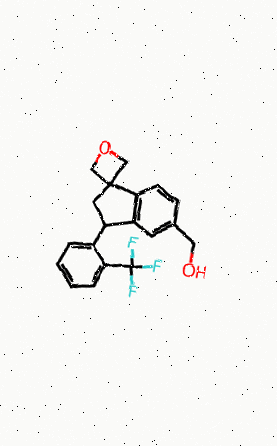 OCc1ccc2c(c1)C(c1ccccc1C(F)(F)F)CC21COC1